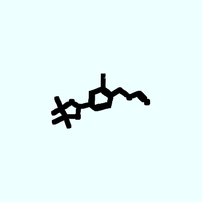 CC1(C)OB(c2ccc(COC=O)c(F)c2)OC1(C)C